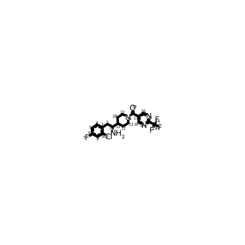 N[C@H](Cc1ccc(F)cc1Cl)C1CCN(C(=O)c2cnc(C(F)(F)F)nc2)CC1